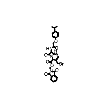 CC(C)c1ccc(OCC(=O)NC2C(=O)N3C(C(=O)OCN4C(=O)c5ccccc5C4=O)C(CBr)=CS[C@@H]23)cc1